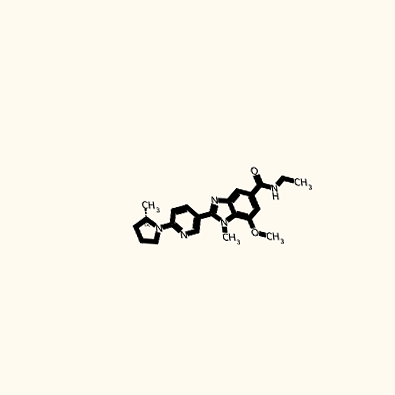 CCNC(=O)c1cc(OC)c2c(c1)nc(-c1ccc(N3CCC[C@@H]3C)nc1)n2C